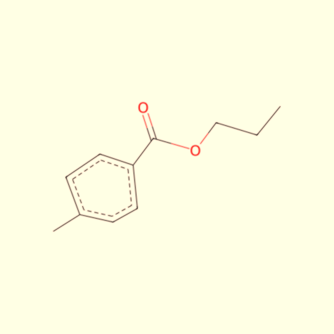 CCCOC(=O)c1ccc(C)cc1